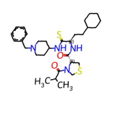 CC(C)C(=O)N1CSC[C@H]1C(=O)N[C@H](CCC1CCCCC1)C(=S)NC1CCN(Cc2ccccc2)CC1